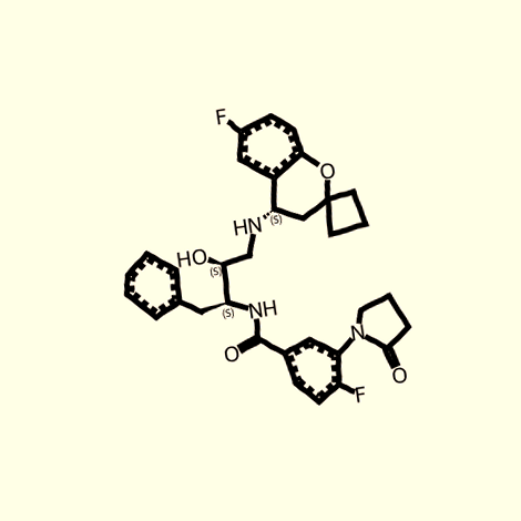 O=C(N[C@@H](Cc1ccccc1)[C@@H](O)CN[C@H]1CC2(CCC2)Oc2ccc(F)cc21)c1ccc(F)c(N2CCCC2=O)c1